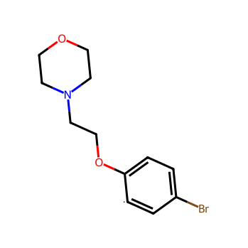 Brc1c[c]c(OCCN2CCOCC2)cc1